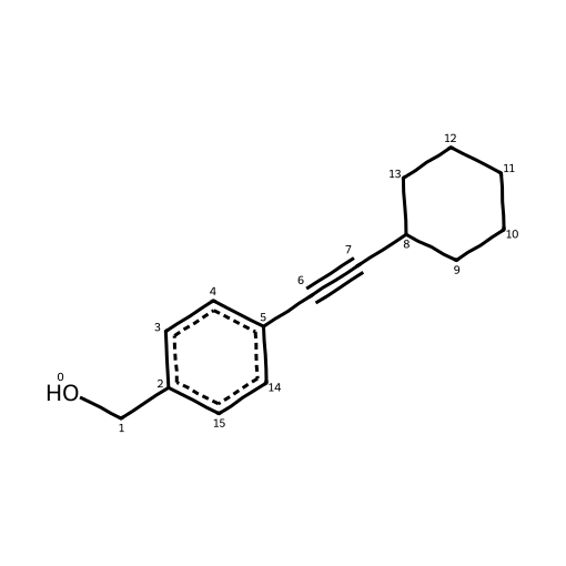 OCc1ccc(C#CC2CCCCC2)cc1